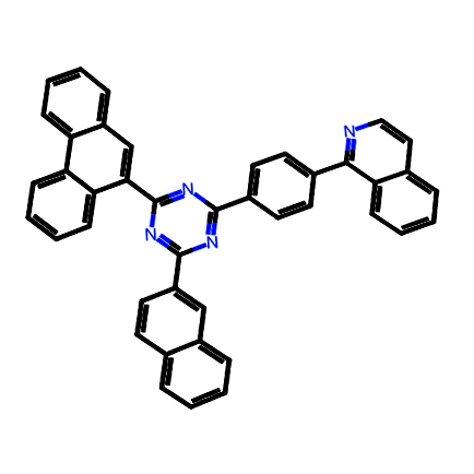 c1ccc2cc(-c3nc(-c4ccc(-c5nccc6ccccc56)cc4)nc(-c4cc5ccccc5c5ccccc45)n3)ccc2c1